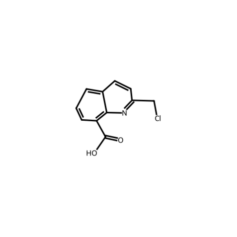 O=C(O)c1cccc2ccc(CCl)nc12